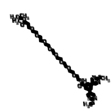 CSc1ncc(-c2cc(C(=O)NCCOCCOCCOCCOCCOCCOCCOCCOCCC(=O)OC(C)(C)C)cc(-c3cnc(SC)nc3)c2)cn1